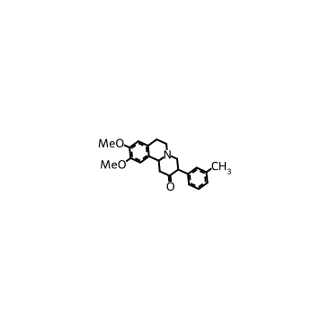 COc1cc2c(cc1OC)C1CC(=O)C(c3cccc(C)c3)CN1CC2